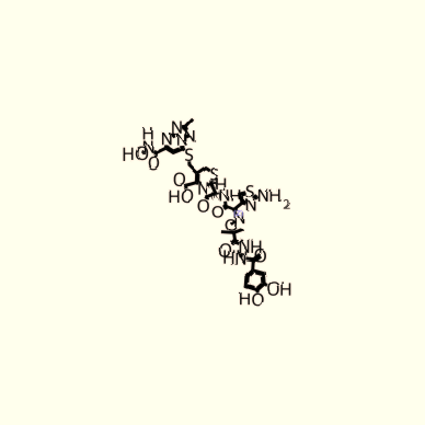 Cc1nc2nc(C(=O)NO)cc(SCC3=C(C(=O)O)N4C(=O)[C@@H](NC(=O)/C(=N\OC(C)(C)C(=O)NNC(=O)c5ccc(O)c(O)c5)c5csc(N)n5)[C@H]4SC3)n2n1